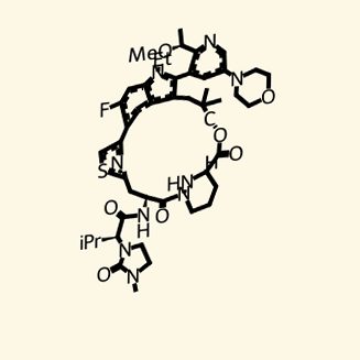 CCn1c(-c2cc(N3CCOCC3)cnc2[C@H](C)OC)c2c3cc(c(F)cc31)-c1csc(n1)C[C@H](NC(=O)[C@H](C(C)C)N1CCN(C)C1=O)C(=O)N1CCC[C@H](N1)C(=O)OCC(C)(C)C2